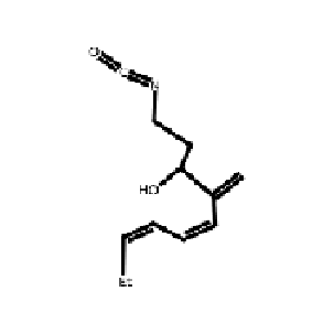 C=C(/C=C\C=C/CC)C(O)CCN=C=O